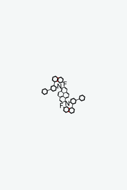 Fc1ccccc1N(C1=C2C=CC3=C4C(=CC=C(C=C1)C24)C(N(c1ccccc1F)c1ccc(-c2ccccc2)cc1-c1ccccc1)C=C3)c1ccc(-c2ccccc2)cc1-c1ccccc1